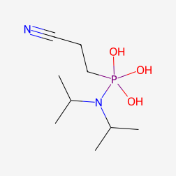 CC(C)N(C(C)C)P(O)(O)(O)CCC#N